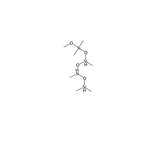 CO[Si](C)(C)O[SiH](C)O[SiH](C)O[SiH](C)C